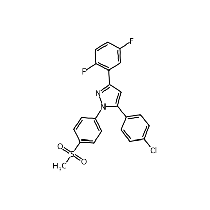 CS(=O)(=O)c1ccc(-n2nc(-c3cc(F)ccc3F)cc2-c2ccc(Cl)cc2)cc1